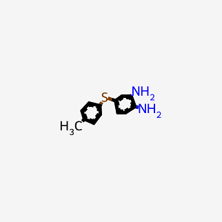 Cc1ccc(Sc2ccc(N)c(N)c2)cc1